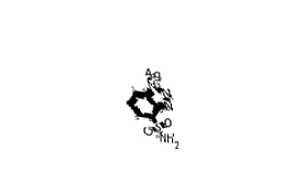 NS(=O)(=O)c1cccc2c1nn[n]2[Ag]